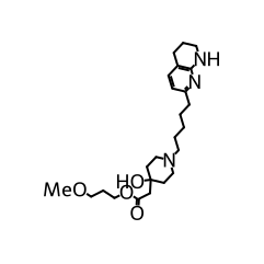 COCCCOC(=O)CC1(O)CCN(CCCCCc2ccc3c(n2)NCCC3)CC1